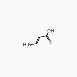 NC=CC(O)=S